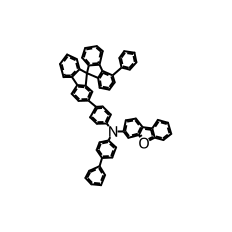 c1ccc(-c2ccc(N(c3ccc(-c4ccc5c(c4)C4(c6ccccc6-5)c5ccccc5-c5c(-c6ccccc6)cccc54)cc3)c3ccc4c(c3)oc3ccccc34)cc2)cc1